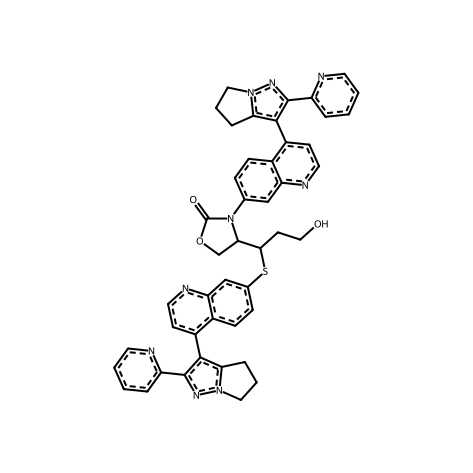 O=C1OCC(C(CCO)Sc2ccc3c(-c4c(-c5ccccn5)nn5c4CCC5)ccnc3c2)N1c1ccc2c(-c3c(-c4ccccn4)nn4c3CCC4)ccnc2c1